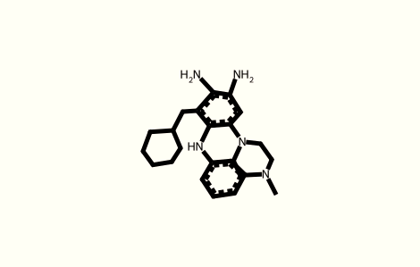 CN1CCN(c2cc(N)c(N)c(CC3CCCCC3)c2Nc2ccccc2)CC1